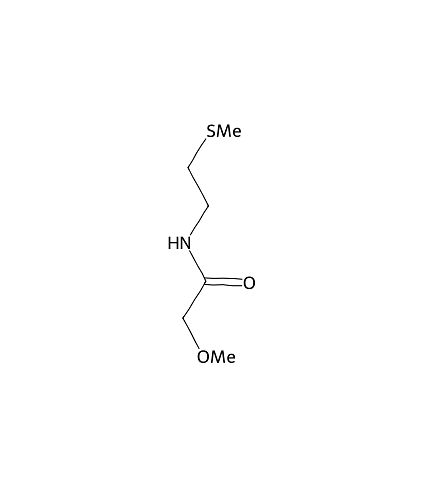 [CH2]OCC(=O)NCCS[CH2]